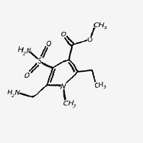 CCc1c(C(=O)OC)c(S(N)(=O)=O)c(CN)n1C